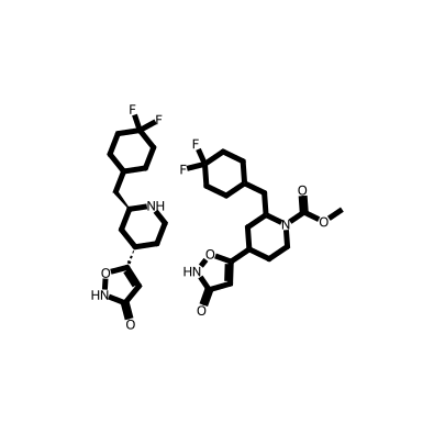 COC(=O)N1CCC(c2cc(=O)[nH]o2)CC1CC1CCC(F)(F)CC1.O=c1cc([C@H]2CCN[C@H](CC3CCC(F)(F)CC3)C2)o[nH]1